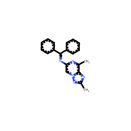 Cc1nc2c(C)nc(N=C(c3ccccc3)c3ccccc3)cn2n1